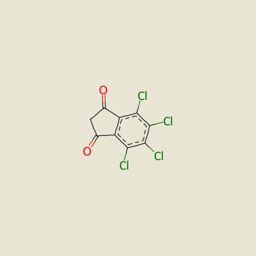 O=C1CC(=O)c2c(Cl)c(Cl)c(Cl)c(Cl)c21